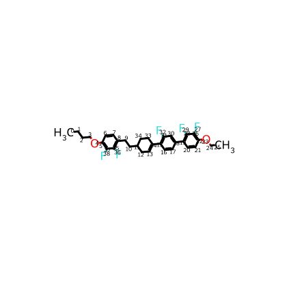 CCCCOc1ccc(CCC2CC=C(c3ccc(-c4ccc(OCC)c(F)c4F)cc3F)CC2)c(F)c1F